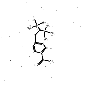 C=C(C)c1ccc(CN([Si](C)(C)C(C)(C)C)[Si](C)(C)C(C)(C)C)cc1